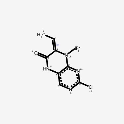 C/C=C1\C(=O)Nc2cnc(Cl)nc2N1C(C)C